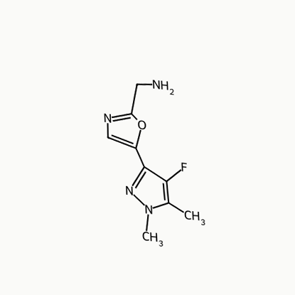 Cc1c(F)c(-c2cnc(CN)o2)nn1C